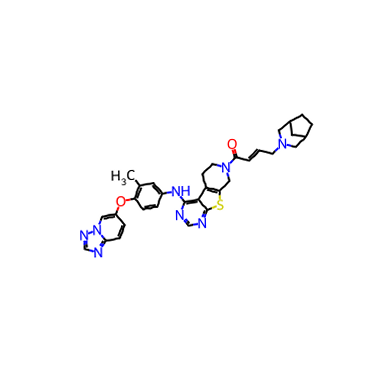 Cc1cc(Nc2ncnc3sc4c(c23)CCN(C(=O)/C=C/CN2CC3CCC(C3)C2)C4)ccc1Oc1ccc2ncnn2c1